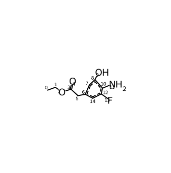 CCOC(=O)Cc1cc(O)c(N)c(F)c1